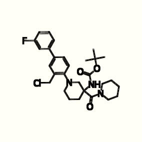 CC(C)(C)OC(=O)NC1(C(=O)N2CCCCC2)CCCN(c2ccc(-c3cccc(F)c3)cc2CCl)C1